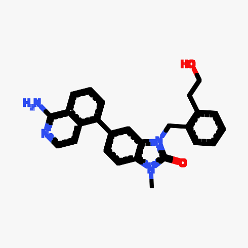 Cn1c(=O)n(Cc2ccccc2CCO)c2cc(-c3cccc4c(N)nccc34)ccc21